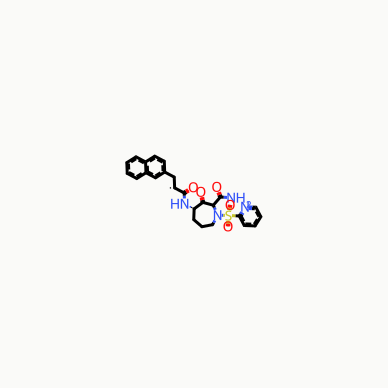 NC(=O)C1C(=O)[C@@H](NC(=O)[CH]Cc2ccc3ccccc3c2)CCCN1S(=O)(=O)c1ccccn1